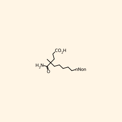 CCCCCCCCCCCCCCC(C)(CCC(=O)O)C(N)=O